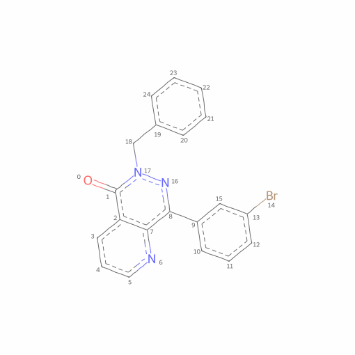 O=c1c2cccnc2c(-c2cccc(Br)c2)nn1Cc1ccccc1